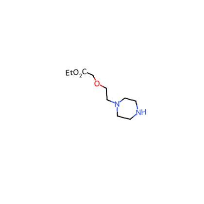 CCOC(=O)COCCN1CCNCC1